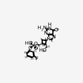 Nc1nc2c(ncn2[C@@H]2C[C@H](COP(=O)(O)Oc3cccc(F)c3)[C@H]2CO)c(=O)[nH]1